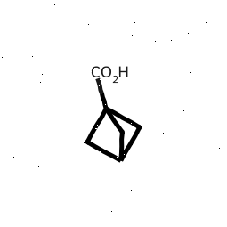 O=C(O)C12CC(C1)C2